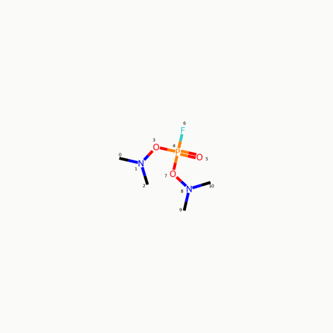 CN(C)OP(=O)(F)ON(C)C